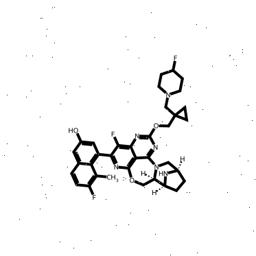 Cc1c(F)ccc2cc(O)cc(-c3nc4c5c(nc(OCC6(CN7CCC(F)CC7)CC6)nc5c3F)N3C[C@H]5CC[C@H](N5)[C@H]3CO4)c12